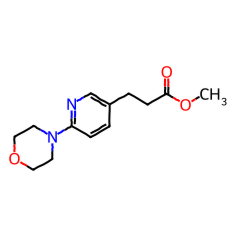 COC(=O)CCc1ccc(N2CCOCC2)nc1